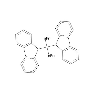 [CH2]CCC(CCCC)(C1c2ccccc2-c2ccccc21)C1c2ccccc2-c2ccccc21